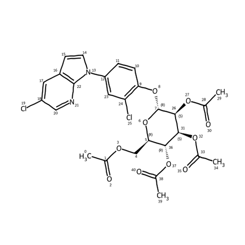 CC(=O)OC[C@H]1O[C@H](Oc2ccc(-n3ccc4cc(Cl)cnc43)cc2Cl)[C@@H](OC(C)=O)[C@@H](OC(C)=O)[C@@H]1OC(C)=O